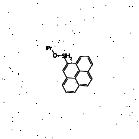 CC(C)O[SiH2]c1cc2cccc3ccc4cccc1c4c32